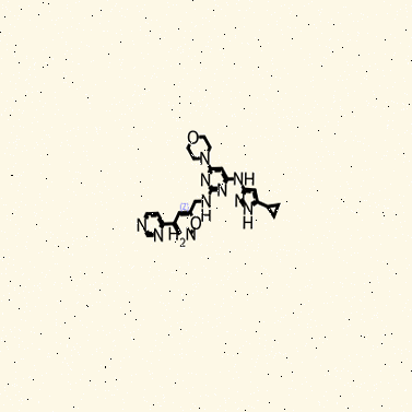 C=C(/C=C(/CNc1nc(Nc2cc(C3CC3)[nH]n2)cc(N2CCOCC2)n1)ON)c1ccncn1